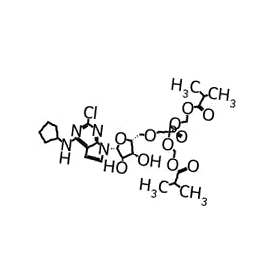 CC(C)C(=O)OCOP(=O)(COC[C@H]1O[C@@H](n2ccc3c(NC4CCCC4)nc(Cl)nc32)[C@H](O)[C@@H]1O)OCOC(=O)C(C)C